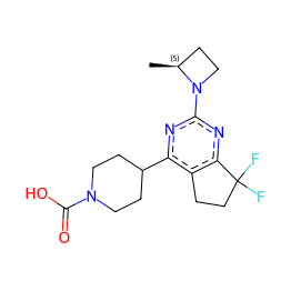 C[C@H]1CCN1c1nc(C2CCN(C(=O)O)CC2)c2c(n1)C(F)(F)CC2